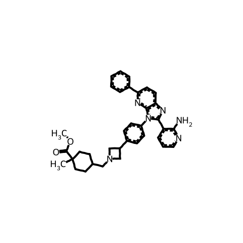 COC(=O)C1(C)CCC(CN2CC(c3ccc(-n4c(-c5cccnc5N)nc5ccc(-c6ccccc6)nc54)cc3)C2)CC1